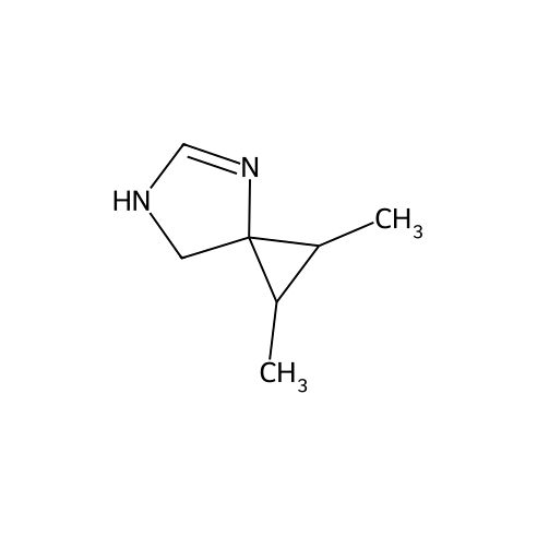 CC1C(C)C12CNC=N2